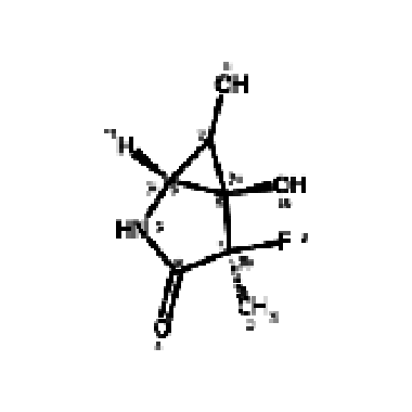 C[C@]1(F)C(=O)N[C@@H]2C(O)[C@@]21O